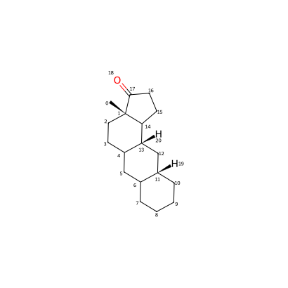 C[C@]12CCC3CC4CCCC[C@H]4C[C@H]3C1CCC2=O